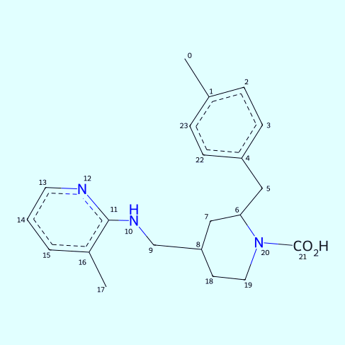 Cc1ccc(CC2CC(CNc3ncccc3C)CCN2C(=O)O)cc1